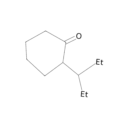 CCC(CC)C1CCCCC1=O